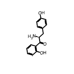 N[C@@H](Cc1ccc(O)cc1)C(=O)c1ccc[c]c1O